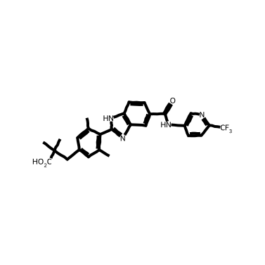 Cc1cc(CC(C)(C)C(=O)O)cc(C)c1-c1nc2cc(C(=O)Nc3ccc(C(F)(F)F)nc3)ccc2[nH]1